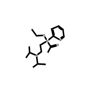 CCO[N+](CCN(C(C)C)C(C)C)(C(C)=O)c1ccccn1